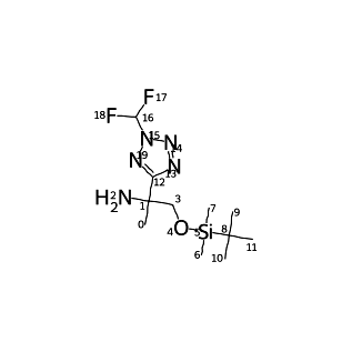 CC(N)(CO[Si](C)(C)C(C)(C)C)c1nnn(C(F)F)n1